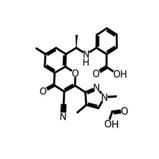 Cc1cc([C@@H](C)Nc2ccccc2C(=O)O)c2oc(-c3nn(C)cc3C)c(C#N)c(=O)c2c1.O=CO